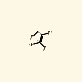 CF.FC=C(F)F